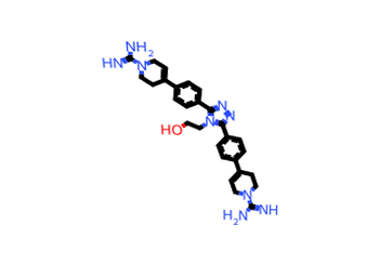 N=C(N)N1CC=C(c2ccc(-c3nnc(-c4ccc(C5=CCN(C(=N)N)CC5)cc4)n3CCO)cc2)CC1